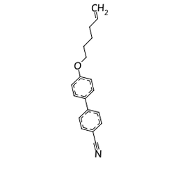 C=CCCCCOc1ccc(-c2ccc(C#N)cc2)cc1